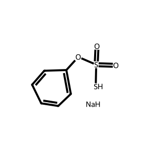 O=S(=O)(S)Oc1ccccc1.[NaH]